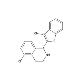 Clc1cccc2c1CCNC2c1sc2ccccc2c1Cl